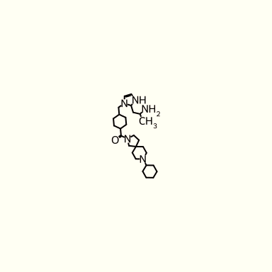 CC(N)CC1NC=CN1CC1CCC(C(=O)N2CCC3(CCN(C4CCCCC4)CC3)C2)CC1